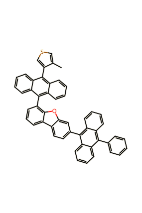 Cc1cscc1-c1c2ccccc2c(-c2cccc3c2oc2cc(-c4c5ccccc5c(-c5ccccc5)c5ccccc45)ccc23)c2ccccc12